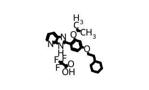 CC(C)Oc1cc(OCCC2CCCCC2)ccc1-c1nc2cccnc2[nH]1.O=C(O)C(F)(F)F